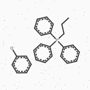 CCC[P+](c1ccccc1)(c1ccccc1)c1ccccc1.[O-]c1ccccc1